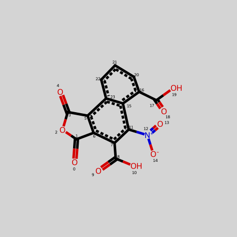 O=C1OC(=O)c2c1c(C(=O)O)c([N+](=O)[O-])c1c(C(=O)O)cccc21